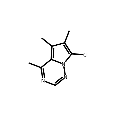 Cc1c(C)c2c(C)ncnn2c1Cl